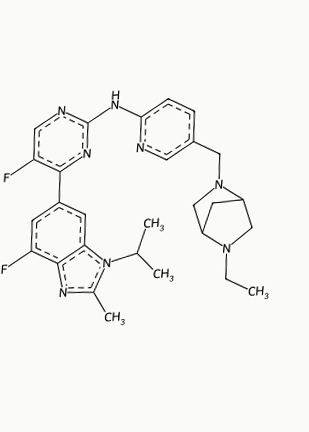 CCN1CC2CC1CN2Cc1ccc(Nc2ncc(F)c(-c3cc(F)c4nc(C)n(C(C)C)c4c3)n2)nc1